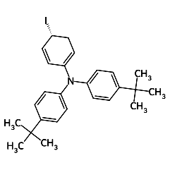 CC(C)(C)c1ccc(N(C2=CC[C@@H](I)C=C2)c2ccc(C(C)(C)C)cc2)cc1